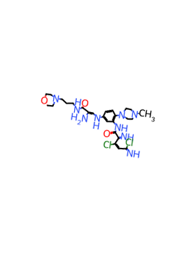 CN1CCN(c2ccc(N/C=C(\N)C(=O)NCCCN3CCOCC3)cc2NC(=O)C(=N)/C(Cl)=C\C(=N)Cl)CC1